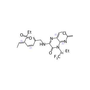 C=C(/C=C\C(=C/C)S(=O)(=O)CC)CNC1=NC(=C/C)/C(=N\C(=C)Cl)N([C@H](CC)C(F)(F)F)C1=O